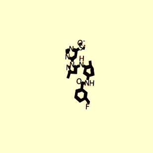 Cc1cc(Nc2cc(NC(=O)c3cccc(CF)c3)ccc2C)n(-c2cc([S+](C)[O-])ncn2)n1